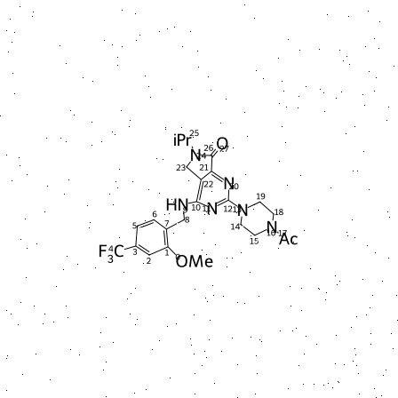 COc1cc(C(F)(F)F)ccc1CNc1nc(N2CCN(C(C)=O)CC2)nc2c1CN(C(C)C)C2=O